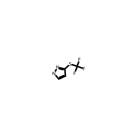 FC(F)(F)SC1=N[N]C=C1